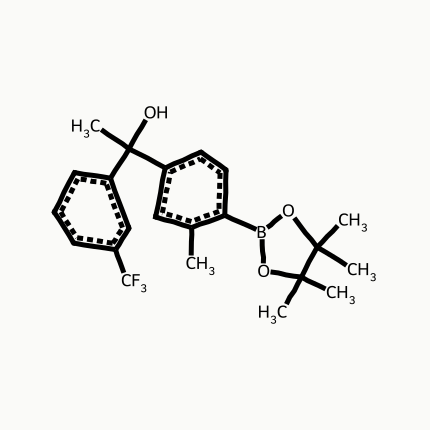 Cc1cc(C(C)(O)c2cccc(C(F)(F)F)c2)ccc1B1OC(C)(C)C(C)(C)O1